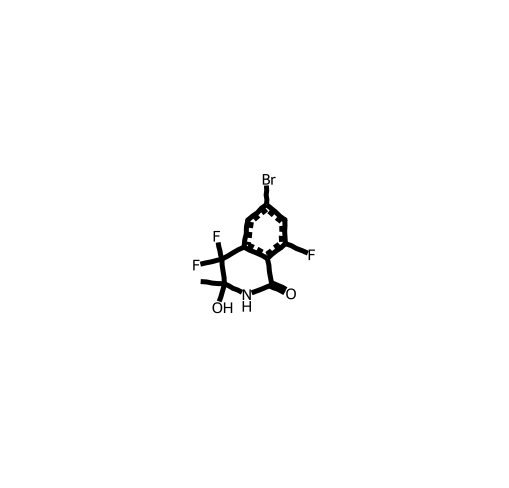 CC1(O)NC(=O)c2c(F)cc(Br)cc2C1(F)F